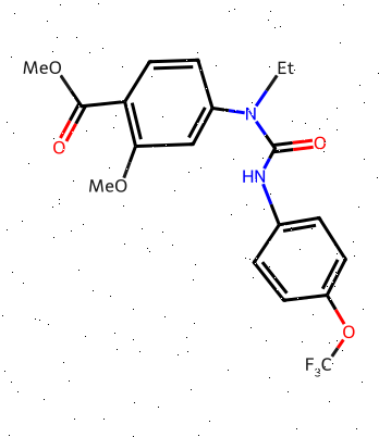 CCN(C(=O)Nc1ccc(OC(F)(F)F)cc1)c1ccc(C(=O)OC)c(OC)c1